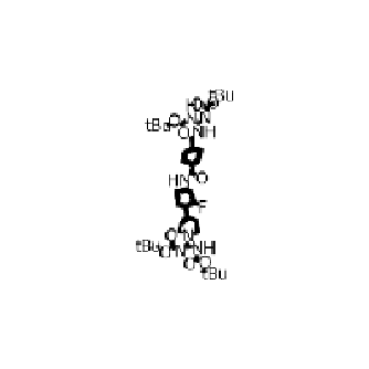 CC(C)(C)OC(=O)/N=C(/NCc1ccc(C(=O)Nc2ccc(C3=CCN(/C(=N\C(=O)OC(C)(C)C)NC(=O)OC(C)(C)C)CC3)c(F)c2)cc1)NC(=O)OC(C)(C)C